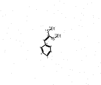 CCSC(=Cc1ccccc1)SCC